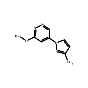 Cc1ccn(-c2cnnc(OC(C)(C)C)c2)n1